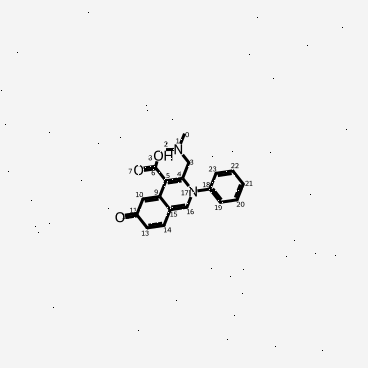 CN(C)Cc1c(C(=O)O)c2cc(=O)ccc-2cn1-c1ccccc1